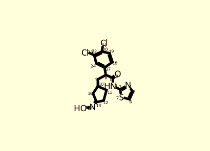 O=C(Nc1nccs1)C(CC1CCC(=NO)C1)c1ccc(Cl)c(Cl)c1